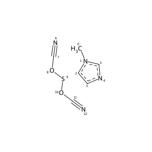 Cn1ccnc1.N#COSOC#N